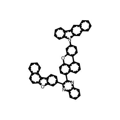 c1ccc2cc3c(cc2c1)c1ccccc1n3-c1ccc2c(c1)Oc1ccc(-c3nc4ccccc4nc3-c3ccc4c(c3)oc3ccc5ccccc5c34)c3cccc-2c13